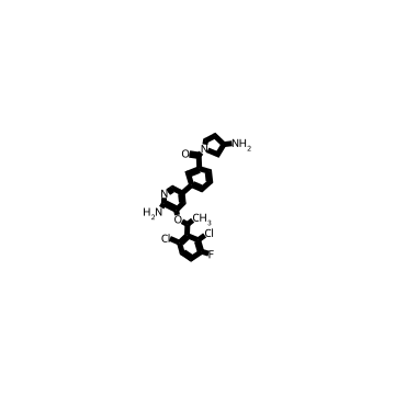 CC(Oc1cc(-c2cccc(C(=O)N3CCC(N)C3)c2)cnc1N)c1c(Cl)ccc(F)c1Cl